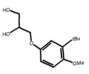 COc1ccc(OCC(O)CO)cc1C(C)(C)C